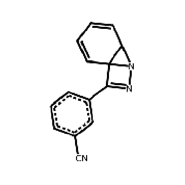 N#Cc1cccc(C2=NN3C4C=CC=CC243)c1